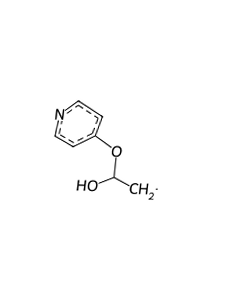 [CH2]C(O)Oc1ccncc1